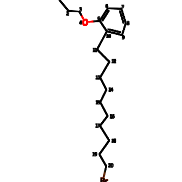 CCCCOc1ccccc1CCCCCCCCCCBr